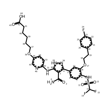 NC(=O)c1c(-c2ccc(NS(=O)(=O)C(F)F)c(OCCc3ccc(F)cc3)c2)n[nH]c1Nc1ccc(OCCCCCC(=O)O)cn1